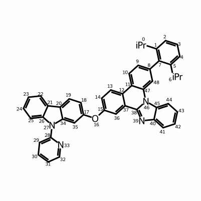 CC(C)c1cccc(C(C)C)c1-c1ccc2c3ccc(Oc4ccc5c6ccccc6n(-c6ccccn6)c5c4)cc3c3nc4ccccc4n3c2c1